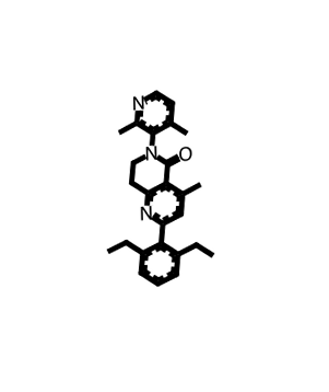 CCc1cccc(CC)c1-c1cc(C)c2c(n1)CCN(c1c(C)ccnc1C)C2=O